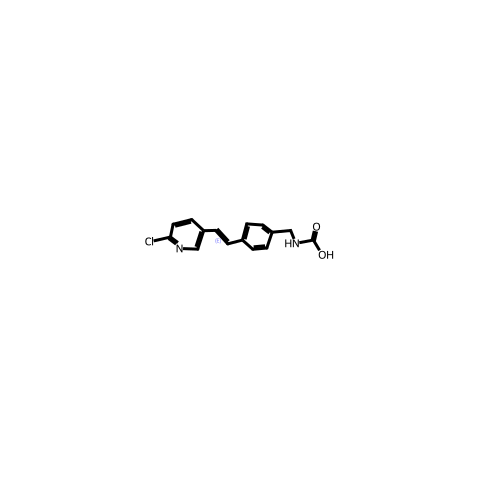 O=C(O)NCc1ccc(/C=C/c2ccc(Cl)nc2)cc1